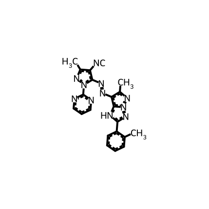 [C-]#[N+]c1c(C)nn(-c2ncccn2)c1/N=N/c1c(C)nn2nc(-c3ccccc3C)[nH]c12